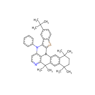 CC(C)(C)c1ccc2sc3c(c2c1)N(c1ccccc1)c1ccnc2c1B3c1cc3c(cc1C2(C)C)C(C)(C)CCC3(C)C